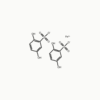 O=S(=O)([O-])c1cc(O)ccc1O.O=S(=O)([O-])c1cc(O)ccc1O.[Fe+2]